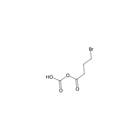 O=C(O)OC(=O)CCCBr